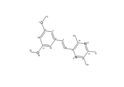 COc1cc(/C=C/c2nc(C)c(C)nc2C)cc(OC)c1